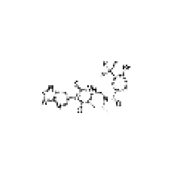 C[C@@H]1Cc2c([nH]c(=S)n(-c3cnc4c(c3)ncn4C)c2=O)CN1C(=O)c1ccc(Br)c(C(F)(F)F)c1